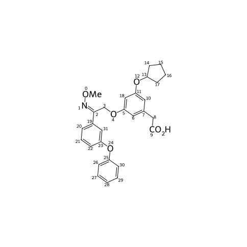 CO/N=C(\COc1cc(CC(=O)O)cc(OC2CCCC2)c1)c1cccc(Oc2ccccc2)c1